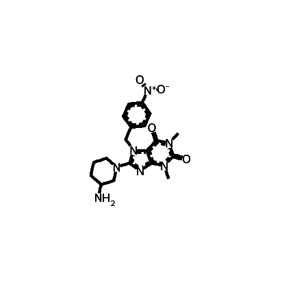 Cn1c(=O)c2c(nc(N3CCCC(N)C3)n2Cc2ccc([N+](=O)[O-])cc2)n(C)c1=O